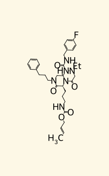 C/C=C/COC(=O)NCCC[C@H]1C(=O)N(CCCc2ccccc2)C[C@H]2N1C(=O)CN(CC)N2C(=O)NCc1ccc(F)cc1